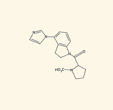 O=C(C1CCCN1C(=O)O)N1CCc2c1cccc2-n1ccnc1